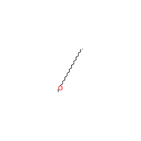 [CH2]CCCCCCCCCCCCCCCCCCOCC